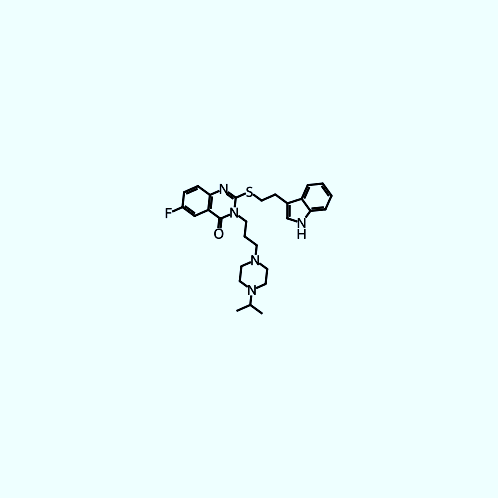 CC(C)N1CCN(CCCn2c(SCCc3c[nH]c4ccccc34)nc3ccc(F)cc3c2=O)CC1